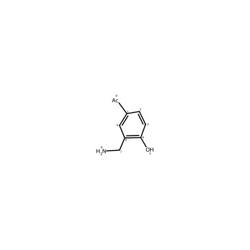 CC(=O)c1ccc(O)c(CN)c1